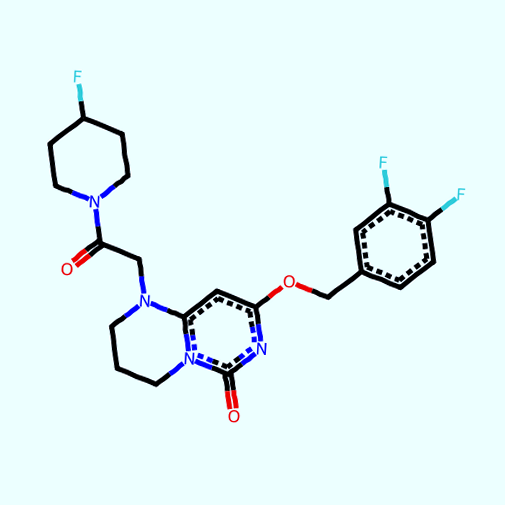 O=C(CN1CCCn2c1cc(OCc1ccc(F)c(F)c1)nc2=O)N1CCC(F)CC1